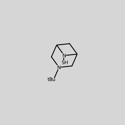 CC(C)(C)N1CC2CC(C1)N2S